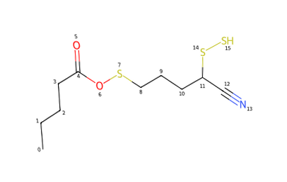 CCCCC(=O)OSCCCC(C#N)SS